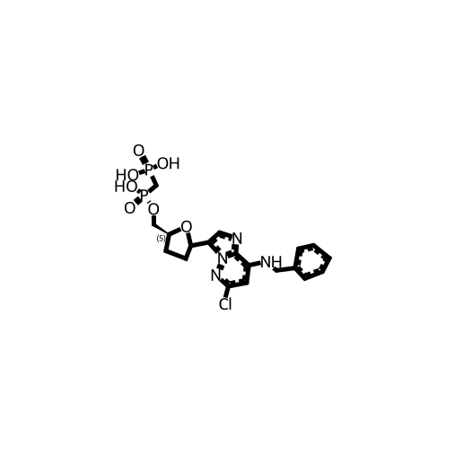 O=P(O)(O)CP(=O)(O)OC[C@@H]1CCC(c2cnc3c(NCc4ccccc4)cc(Cl)nn23)O1